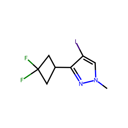 Cn1cc(I)c(C2CC(F)(F)C2)n1